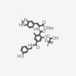 COC(=O)/C(=C/c1ccc2[nH]nnc2c1)NC(=O)c1c(C)cc(C(=O)NCc2cccc(O)c2)cc1Cl.O=C(O)C(F)(F)F